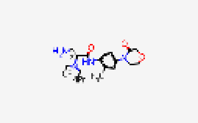 CC(C)CN(CC(F)(F)F)[C@H](CN)C(=O)Nc1ccc(N2CCOCC2=O)cc1C(F)(F)F